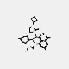 CC(C)(C)OC(=O)N1c2cc(F)cc3c(=O)[nH]nc(c23)C(N2C(=O)CN(C3CCC3)C2=O)C1c1ccc(F)cc1